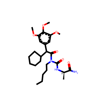 CCCCCN(C(=O)N[C@H](C)C(N)=O)C(=O)C(c1cc(OC)c(OC)c(OC)c1)C1CCCCC1